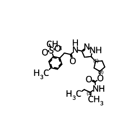 CC[C@H](C)NC(=O)O[C@@H]1CC[C@H](C2CC(NC(=O)Cc3ccc(C)cc3S(C)(=O)=O)=NN2)C1